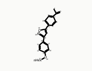 C=C(C)c1ccc(-c2cc(-c3ccc(OCCCCCC)cc3)no2)cc1